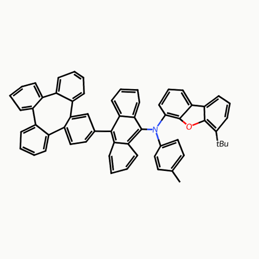 Cc1ccc(N(c2c3ccccc3c(-c3ccc4c(c3)-c3ccccc3-c3ccccc3-c3ccccc3-4)c3ccccc23)c2cccc3c2oc2c(C(C)(C)C)cccc23)cc1